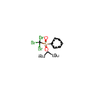 CCC(C)CC(C)(C)C.O=S(=O)(c1ccccc1)C(Br)(Br)Br